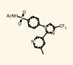 CC(=O)NS(=O)(=O)c1ccc(-n2cc(C(F)(F)F)nc2-c2cncc(C)c2)cc1